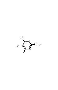 CC1=C(F)C(Br)CC(C(=O)O)=C1